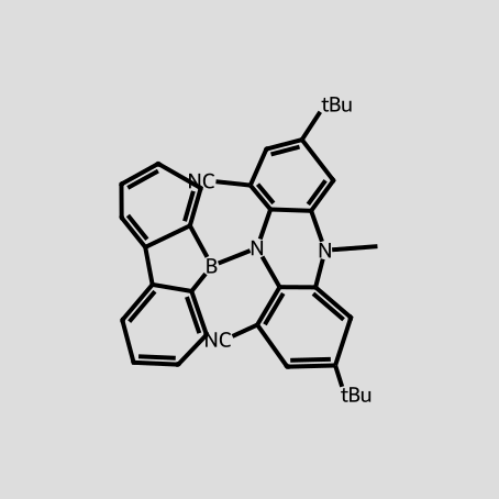 CN1c2cc(C(C)(C)C)cc(C#N)c2N(B2c3ccccc3-c3ccccc32)c2c(C#N)cc(C(C)(C)C)cc21